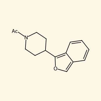 CC(=O)N1CCC(c2occ3ccccc23)CC1